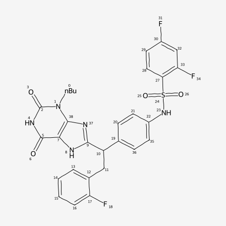 CCCCn1c(=O)[nH]c(=O)c2[nH]c(C(Cc3ccccc3F)c3ccc(NS(=O)(=O)c4ccc(F)cc4F)cc3)nc21